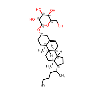 CC(C)CCCC(C)[C@H]1CC[C@H]2[C@@H]3CC=C4C[C@@H](O[C@@H]5O[C@H](CO)[C@H](O)[C@H](O)[C@H]5O)CC[C@]4(C)[C@H]3CC[C@]12C